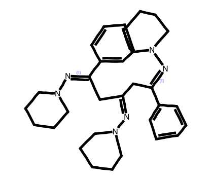 c1ccc(/C(CC(C/C(=N\N2CCCCC2)c2ccccc2)=NN2CCCCC2)=N/N2CCCCC2)cc1